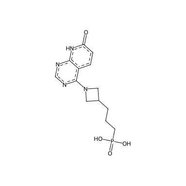 O=c1ccc2c(N3CC(CCCP(=O)(O)O)C3)ncnc2[nH]1